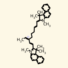 C/C=C(\C=CC1=[N+](C)c2ccc3ccccc3c2C1(C)C)CCCC=CC=C1N(C)c2ccc3ccccc3c2C1(C)C